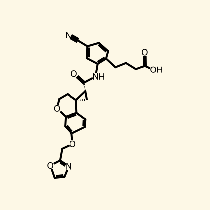 N#Cc1ccc(CCCC(=O)O)c(NC(=O)[C@@H]2C[C@]23CCOc2cc(OCc4ncco4)ccc23)c1